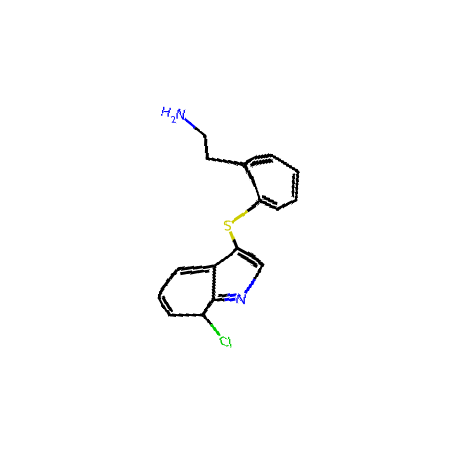 NCCc1ccccc1SC1=CN=C2C1=CC=CC2Cl